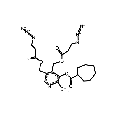 Cc1ncc(COC(=O)CCN=[N+]=[N-])c(COC(=O)CCN=[N+]=[N-])c1OC(=O)C1CCCCCC1